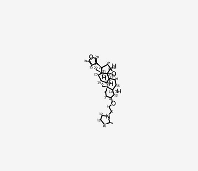 C[C@]12CC[C@H](OCCN3CCCC3)C[C@@H]1CC[C@@H]1[C@@H]2CC[C@]2(C)[C@@H](c3ccoc3)C[C@H]3O[C@]132